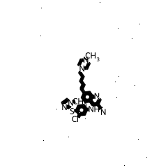 CN1CCN(CCCC=Cc2ccc3c(Nc4ccc(Sc5nccn5C)c(Cl)c4)c(C#N)cnc3c2)CC1